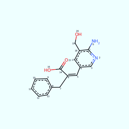 Nc1ncc(C=C(Cc2ccccc2)C(=O)O)cc1CO